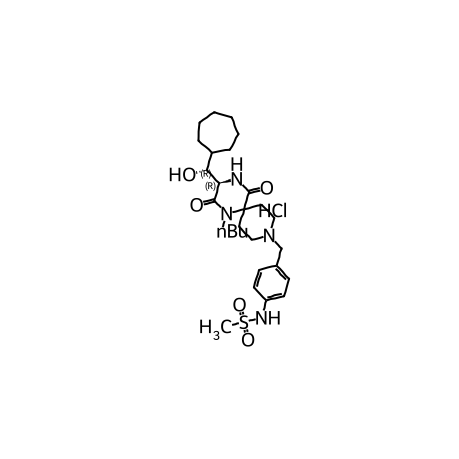 CCCCN1C(=O)[C@@H]([C@H](O)C2CCCCCC2)NC(=O)C12CCN(Cc1ccc(NS(C)(=O)=O)cc1)CC2.Cl